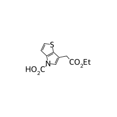 CCOC(=O)Cc1cn(C(=O)O)c2ccsc12